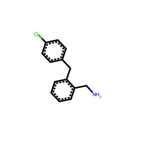 NCc1cc[c]cc1Cc1ccc(Cl)cc1